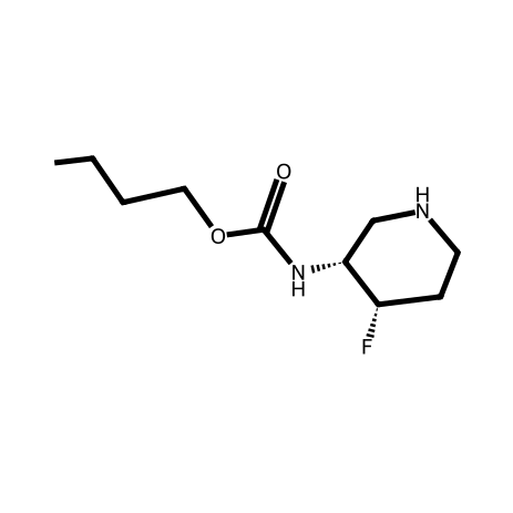 CCCCOC(=O)N[C@@H]1CNCC[C@@H]1F